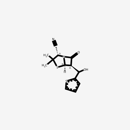 CC1(C)S[C@@H]2[C@H](C(O)c3cccs3)C(=O)N2[C@H]1C#N